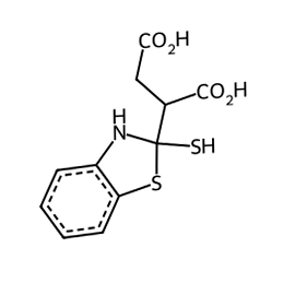 O=C(O)CC(C(=O)O)C1(S)Nc2ccccc2S1